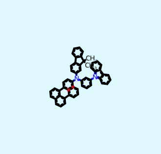 CC1(C)c2ccccc2-c2ccc(N(c3ccc(-c4cccc5cccc(-c6ccccc6)c45)cc3)c3cccc(-n4c5ccccc5c5ccccc54)c3)cc21